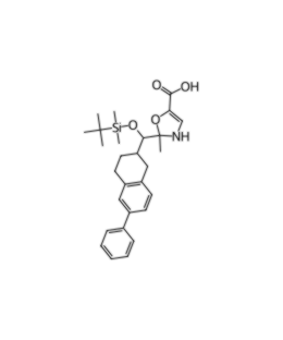 CC1(C(O[Si](C)(C)C(C)(C)C)C2CCc3cc(-c4ccccc4)ccc3C2)NC=C(C(=O)O)O1